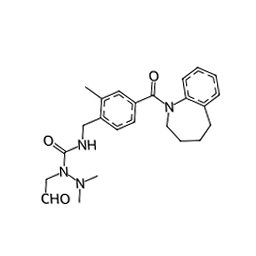 Cc1cc(C(=O)N2CCCCc3ccccc32)ccc1CNC(=O)N(CC=O)N(C)C